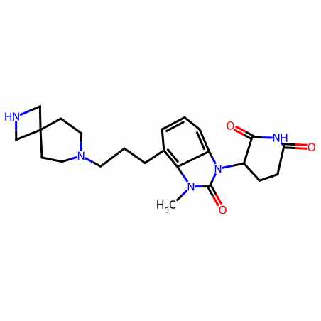 Cn1c(=O)n(C2CCC(=O)NC2=O)c2cccc(CCCN3CCC4(CC3)CNC4)c21